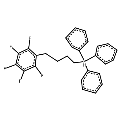 Fc1c(F)c(F)c(CCCC[PH](c2ccccc2)(c2ccccc2)c2ccccc2)c(F)c1F